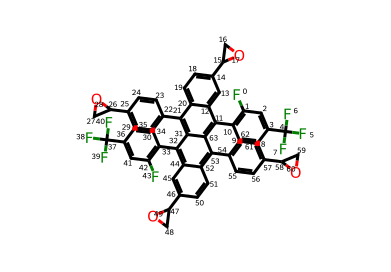 Fc1cc(C(F)(F)F)ccc1-c1c2cc(C3CO3)ccc2c(-c2ccc(C3CO3)cc2)c2c(-c3ccc(C(F)(F)F)cc3F)c3cc(C4CO4)ccc3c(-c3ccc(C4CO4)cc3)c12